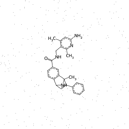 Cc1cc(N)nc(C)c1CNC(=O)c1ccc2c(c1)C1(C)NC2C=C1c1ccccc1